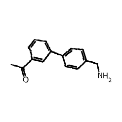 CC(=O)c1cccc(-c2ccc(CN)cc2)c1